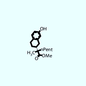 CCCCCC(C)(C(=O)OC)[C@@H]1CCc2ccc(O)cc2C1